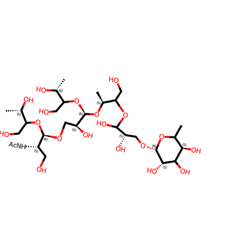 CC(=O)N[C@@H](CO)[C@H](OC[C@H](O)[C@@H](OC(CO)[C@@H](C)O)O[C@@H](C)C(CO)OC(O)[C@@H](O)CO[C@@H]1OC(C)[C@@H](O)C(O)[C@@H]1O)OC(CO)[C@H](C)O